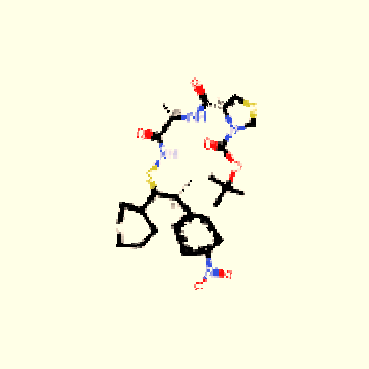 C[C@H](NC(=O)[C@@H]1CSCN1C(=O)OC(C)(C)C)C(=O)NSC(C1CCCCC1)[C@H](C)c1ccc([N+](=O)[O-])cc1